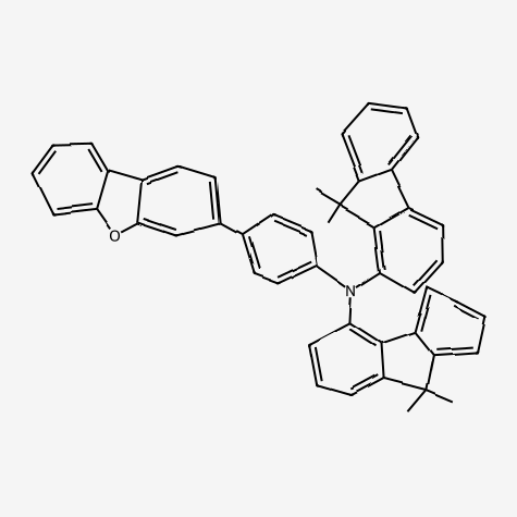 CC1(C)c2ccccc2-c2c(N(c3ccc(-c4ccc5c(c4)oc4ccccc45)cc3)c3cccc4c3C(C)(C)c3ccccc3-4)cccc21